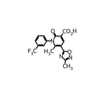 Cc1noc(-c2cc(C(=O)O)c(=O)n(-c3cccc(C(F)(F)F)c3)c2C)n1